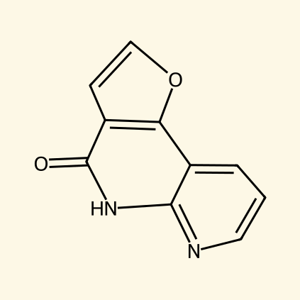 O=c1[nH]c2ncccc2c2occc12